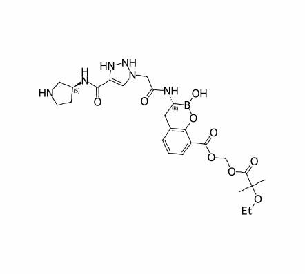 CCOC(C)(C)C(=O)OCOC(=O)c1cccc2c1OB(O)[C@@H](NC(=O)CN1C=C(C(=O)N[C@H]3CCNC3)NN1)C2